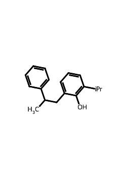 CC(C)c1cccc(CC(C)c2ccccc2)c1O